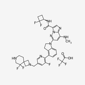 CNc1cc(N2CCc3c(-c4ncc(CN5CC6(CCNCC6(F)F)C5)cc4F)cccc32)nn2c(C(=O)N[C@@H]3CCC3(F)F)cnc12.O=C(O)C(F)(F)F